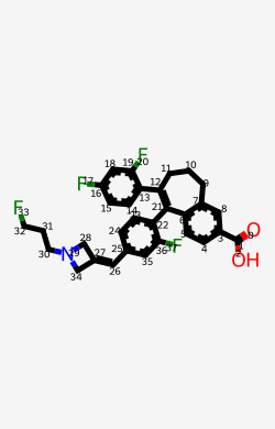 O=C(O)c1ccc2c(c1)CCCC(c1ccc(F)cc1F)=C2c1ccc(C=C2CN(CCCF)C2)cc1F